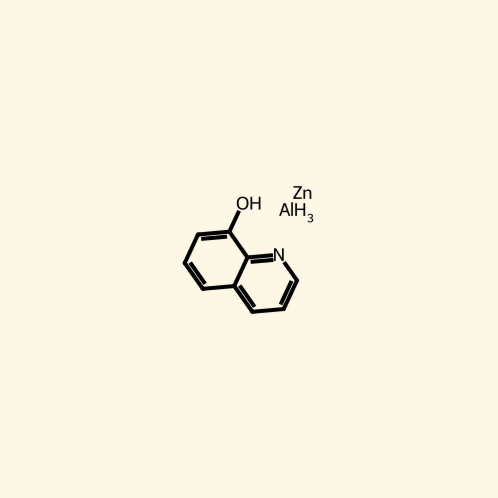 Oc1cccc2cccnc12.[AlH3].[Zn]